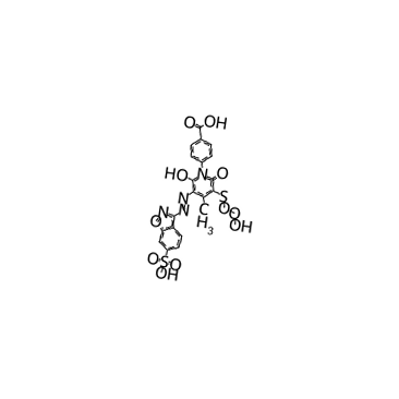 Cc1c(N=Nc2noc3cc(S(=O)(=O)O)ccc23)c(O)n(-c2ccc(C(=O)O)cc2)c(=O)c1SOOO